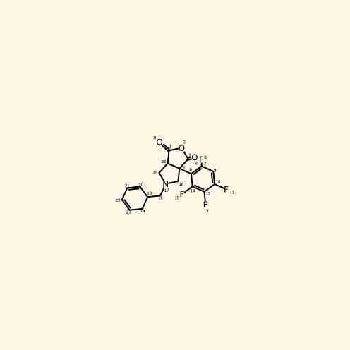 O=C1OC(=O)C2(c3c(F)cc(F)c(F)c3F)CN(CC3C=CC=CC3)CC12